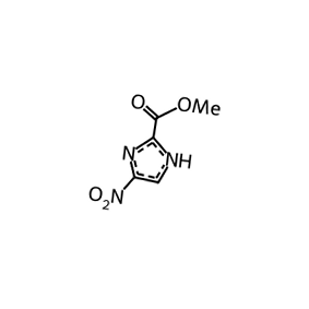 COC(=O)c1nc([N+](=O)[O-])c[nH]1